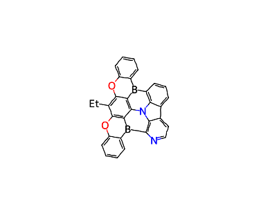 CCc1c2c3c4c5c1Oc1ccccc1B5c1nccc5c6cccc(c6n-4c15)B3c1ccccc1O2